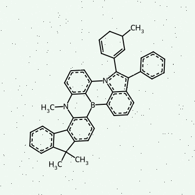 CC1C=C(c2c(-c3ccccc3)c3cccc4c3n2-c2cccc3c2B4c2ccc4c(c2N3C)-c2ccccc2C4(C)C)C=CC1